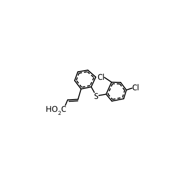 O=C(O)C=Cc1ccccc1Sc1ccc(Cl)cc1Cl